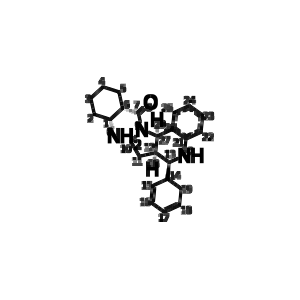 N[C@@H]1CCCC[C@@H]1C(=O)N1CC[C@@H]2[C@H](C3C=CC=CC3)Nc3ccccc3[C@@H]21